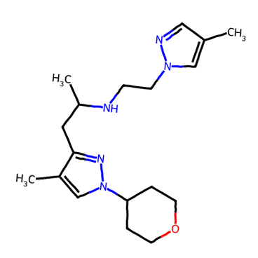 Cc1cnn(CCNC(C)Cc2nn(C3CCOCC3)cc2C)c1